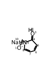 CC(=O)[O-].I.O=c1cccc[nH]1.[Na+]